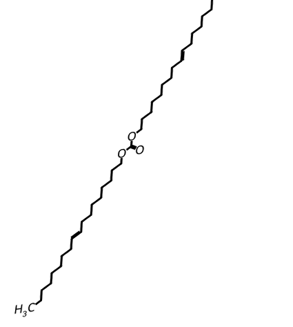 CCCCCCCCC=CCCCCCCCCOC(=O)OCCCCCCCCC=CCCCCCCCC